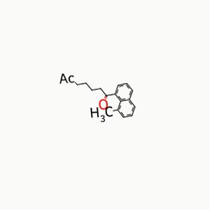 CC(=O)CCCCC(=O)c1cccc2cccc(C)c12